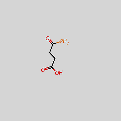 O=C(O)CCC(=O)P